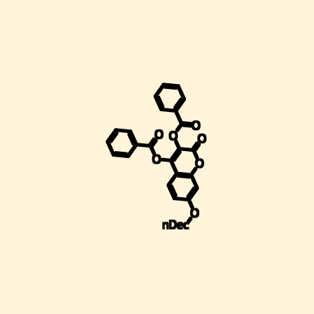 CCCCCCCCCCOc1ccc2c(OC(=O)c3ccccc3)c(OC(=O)c3ccccc3)c(=O)oc2c1